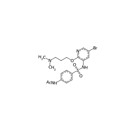 CC(=O)Nc1ccc(S(=O)(=O)Nc2cc(Br)cnc2OCCCN(C)C)cc1